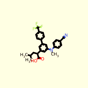 CC(C)CC(C(=O)O)c1cc(-c2ccc(C(F)(F)F)cc2)cc(N(C)c2ccc(C#N)cc2)c1